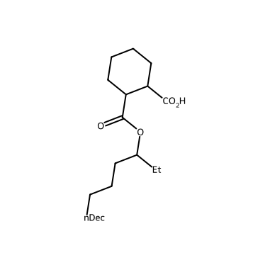 CCCCCCCCCCCCCC(CC)OC(=O)C1CCCCC1C(=O)O